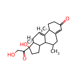 CC1CC2=CC(=O)CC[C@]2(C)C2=CC[C@@]3(C)C(CC[C@]3(O)C(=O)CO)C21